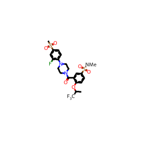 CNS(=O)(=O)c1ccc(OC(C)C(F)(F)F)c(C(=O)N2CCN(c3ccc(S(C)(=O)=O)cc3F)CC2)c1